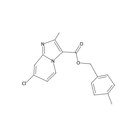 Cc1ccc(COC(=O)c2c(C)nc3cc(Cl)ccn23)cc1